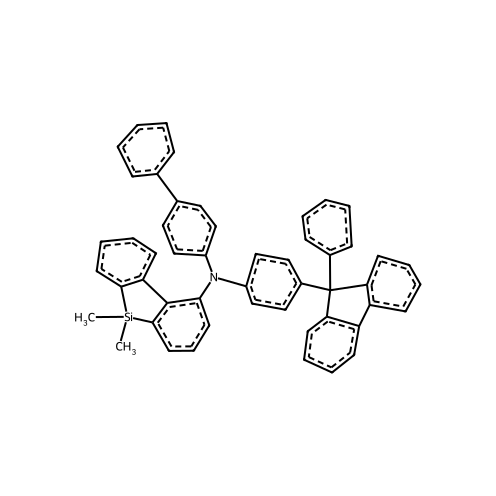 C[Si]1(C)c2ccccc2-c2c(N(c3ccc(-c4ccccc4)cc3)c3ccc(C4(c5ccccc5)c5ccccc5-c5ccccc54)cc3)cccc21